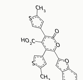 Cc1cc(-c2c(-c3cc4ccccc4o3)oc(=O)c(-c3csc(C)c3)c2C(=O)O)cs1